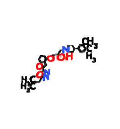 Cc1ccc(C2CCN(C[C@H](O)COc3cccc4oc(-c5nnc(CC(C)C)o5)cc34)CC2)cc1C